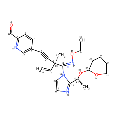 C=C[C@@](C)(C#Cc1ccc(C=O)nc1)/C(=N\OCC)n1ccnc1[C@H](C)OC1CCCCO1